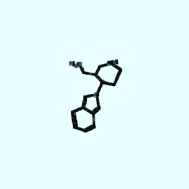 CCC1CNCCN1n1cc2ccccc2c1